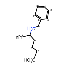 CCCC(CCCC(=O)O)NCc1ccccc1